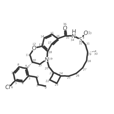 CCCc1cc(Cl)ccc1[C@@H]1COc2ccc3cc2N(CC2CCC2CCCC[C@@H](C)C[S+]([O-])NC3=O)C1